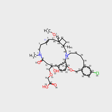 CO[C@H]1/C=C/CCN(C)C(=O)C[C@](O)(COCC(=O)O)c2ccc3c(c2)N(CCCCc2cc(Cl)ccc2CO3)C[C@@H]2CC[C@H]21